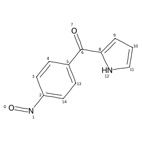 O=Nc1ccc(C(=O)c2ccc[nH]2)cc1